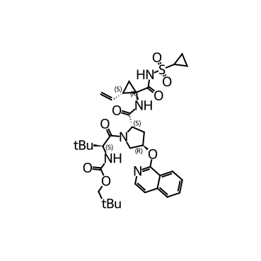 C=C[C@@H]1C[C@]1(NC(=O)[C@@H]1C[C@@H](Oc2nccc3ccccc23)CN1C(=O)[C@@H](NC(=O)OCC(C)(C)C)C(C)(C)C)C(=O)NS(=O)(=O)C1CC1